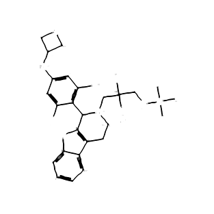 C[C@@H]1Cc2c(oc3ccccc23)C(c2c(F)cc(NC3CNC3)cc2F)N1CC(F)(F)CO[Si](C)(C)C